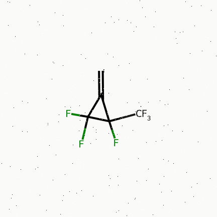 [C]=C1C(F)(F)C1(F)C(F)(F)F